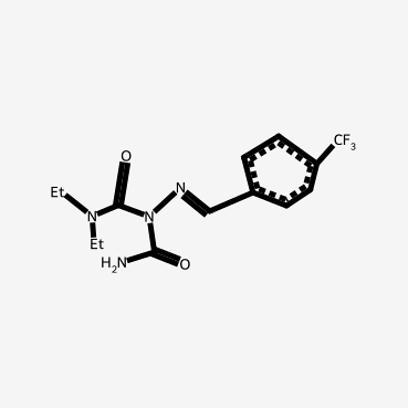 CCN(CC)C(=O)N(N=Cc1ccc(C(F)(F)F)cc1)C(N)=O